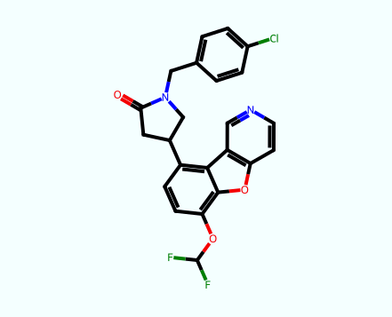 O=C1CC(c2ccc(OC(F)F)c3oc4ccncc4c23)CN1Cc1ccc(Cl)cc1